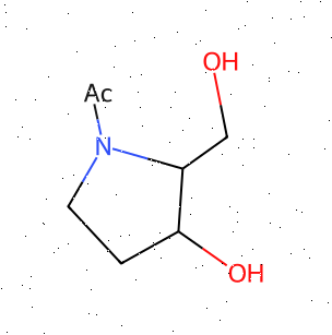 CC(=O)N1CCC(O)C1CO